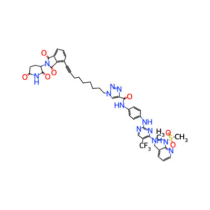 CN(c1ncccc1CNc1nc(Nc2ccc(NC(=O)c3cn(CCCCCCCC#Cc4cccc5c4C(=O)N(C4CCC(=O)NC4=O)C5=O)nn3)cc2)ncc1C(F)(F)F)S(C)(=O)=O